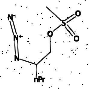 CCCC(COS(C)(=O)=O)N=[N+]=[N-]